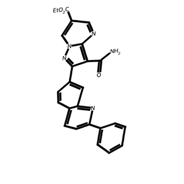 CCOC(=O)c1cnc2c(C(N)=O)c(-c3ccc4ccc(-c5ccccc5)nc4c3)nn2c1